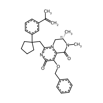 C=C(C)c1cccc(C2(Cc3nc(=O)c(OCc4ccccc4)c4n3C[C@H](C)N(C)C4=O)CCCC2)c1